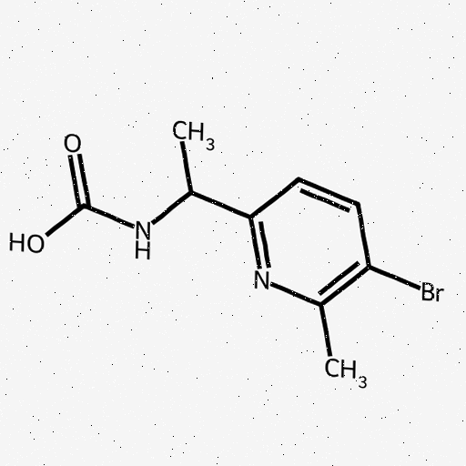 Cc1nc(C(C)NC(=O)O)ccc1Br